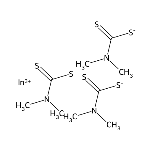 CN(C)C(=S)[S-].CN(C)C(=S)[S-].CN(C)C(=S)[S-].[In+3]